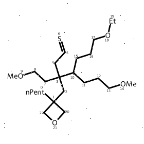 CCCCCC1(CC(CC=S)(CCOC)[C](CCCOC)CCCOCC)COC1